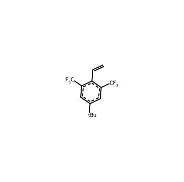 C=Cc1c(C(F)(F)F)cc(C(C)(C)C)cc1C(F)(F)F